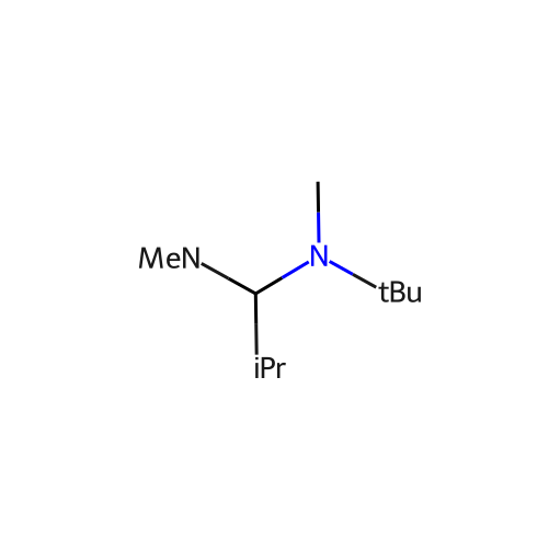 CNC(C(C)C)N(C)C(C)(C)C